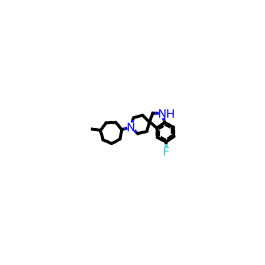 CC1CCCC(N2CCC3(CC2)CNc2ccc(F)cc23)CC1